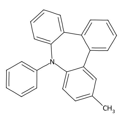 Cc1ccc2c(c1)-c1ccccc1-c1ccccc1N2c1ccccc1